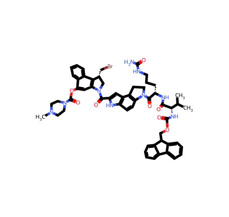 CC(C)[C@H](NC(=O)OCC1c2ccccc2-c2ccccc21)C(=O)N[C@@H](CCCNC(N)=O)C(=O)N1CCc2c1ccc1[nH]c(C(=O)N3C[C@@H](CBr)c4c3cc(OC(=O)N3CCN(C)CC3)c3ccccc43)cc21